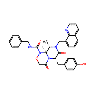 C[C@H]1[C@@H]2N(C(=O)NCc3ccccc3)OCC(=O)N2[C@@H](Cc2ccc(O)cc2)C(=O)N1Cc1cccc2cccnc12